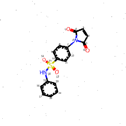 O=C1C=CC(=O)N1c1ccc(S(=O)(=O)Nc2ccccc2)cc1